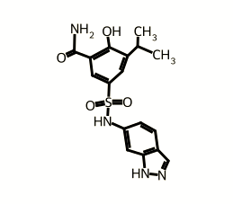 CC(C)c1cc(S(=O)(=O)Nc2ccc3cn[nH]c3c2)cc(C(N)=O)c1O